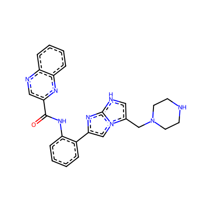 O=C(Nc1ccccc1-c1cn2c(CN3CCNCC3)c[nH]c2n1)c1cnc2ccccc2n1